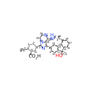 CC(C)[C@H]1CC[C@@H](c2nc(-c3ccc(C(C)(O)c4cccc(C(F)(F)F)c4)cc3)c3c(N)nccn23)C[C@H]1C(=O)O